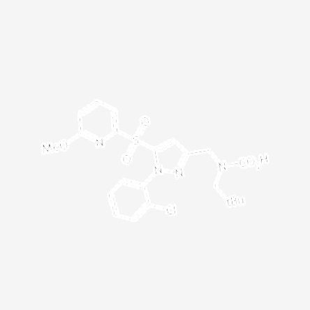 COc1cccc(S(=O)(=O)c2cc(CN(CC(C)(C)C)C(=O)O)nn2-c2ccccc2Cl)n1